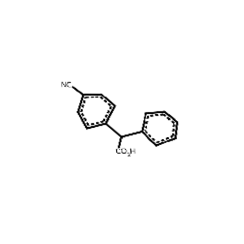 N#Cc1ccc(C(C(=O)O)c2ccccc2)cc1